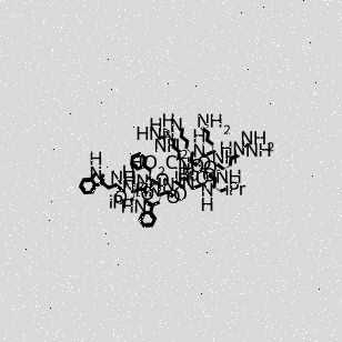 CC[C@H](C)[C@H](NC(=O)[C@H](Cc1c[nH]c2ccccc12)NC(=O)[C@H](Cc1ccccc1)NC(=O)[C@H](CC(C)C)NC(=O)[C@@H](N)Cc1c[nH]c2ccccc12)C(=O)NCC(=O)N[C@@H](CC(C)C)C(=O)N[C@@H](CCCNC(=N)N)C(=O)N[C@@H](CCCCN)C(=O)N[C@@H](CCCCN)C(=O)N[C@@H](CCCNC(=N)N)C(=O)O